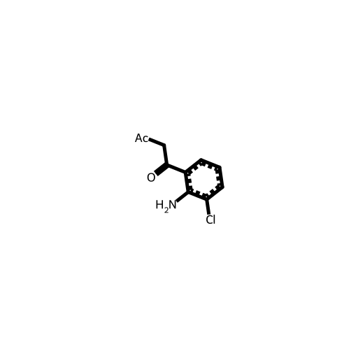 CC(=O)CC(=O)c1cccc(Cl)c1N